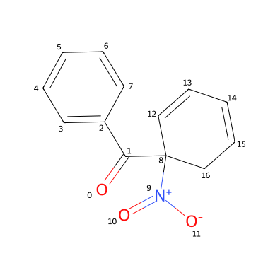 O=C(c1ccccc1)C1([N+](=O)[O-])C=CC=CC1